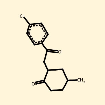 CC1CCC(=O)C(CC(=O)c2ccc(Cl)cc2)C1